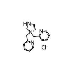 C1=C[N+](Cc2ccccn2)(Cc2ccccn2)CN1.[Cl-]